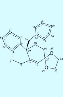 C1=C2CCc3ccccc3[C@]2(Cc2ccccc2)CCC12OCCO2